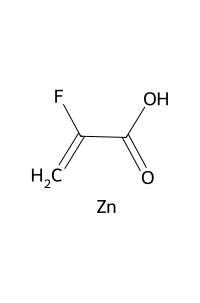 C=C(F)C(=O)O.[Zn]